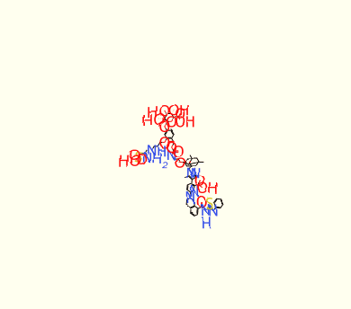 Cc1c(-c2ccc(N3CCc4cccc(C(=O)Nc5nc6ccccc6s5)c4C3)nc2C(=O)O)cnn1CC12CC3(C)CC(C)(C1)CC(OCCN(C)C(=O)OCc1ccc(O[C@@H]4O[C@H](C(=O)O)[C@@H](O)[C@H](O)[C@H]4O)cc1OCCCNC[C@@H](N)CS(=O)(=O)O)(C3)C2